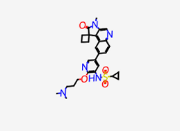 CN(C)CCCOc1ncc(-c2ccc3ncc4c(c3c2)C2(CCC2)C(=O)N4C)cc1NS(=O)(=O)C1CC1